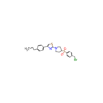 CCCc1ccc(-c2csc(N3CCC(S(=O)(=O)c4ccc(CBr)cc4)CC3)n2)cc1